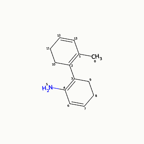 CC1=C(C2=C(N)C=CCC2)CCC=C1